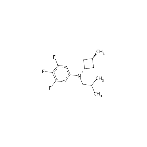 CC(C)CN(c1cc(F)c(F)c(F)c1)[C@H]1C[C@H](C)C1